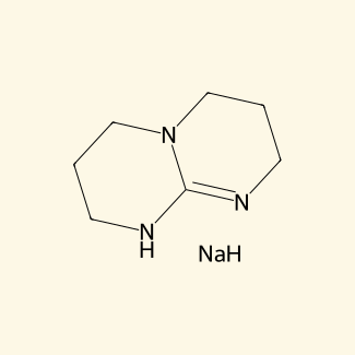 C1CN=C2NCCCN2C1.[NaH]